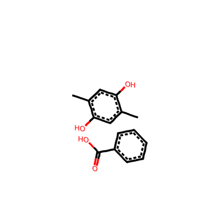 Cc1cc(O)c(C)cc1O.O=C(O)c1ccccc1